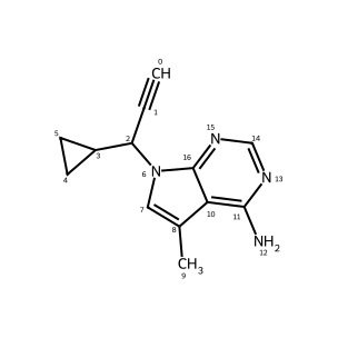 C#CC(C1CC1)n1cc(C)c2c(N)ncnc21